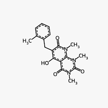 Cc1ccccc1Cc1c(O)c2c(=O)n(C)c(=O)n(C)c2n(C)c1=O